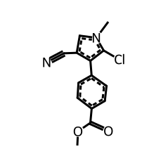 COC(=O)c1ccc(-c2c(C#N)cn(C)c2Cl)cc1